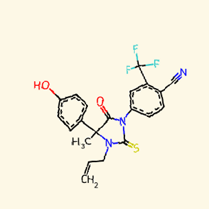 C=CCN1C(=S)N(c2ccc(C#N)c(C(F)(F)F)c2)C(=O)C1(C)c1ccc(O)cc1